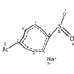 CC(=O)c1ccc(S(=O)[O-])cc1.[Na+]